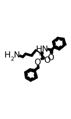 NCCCC[C@@H](NC(=O)c1ccccc1)C(=O)OCc1ccccc1